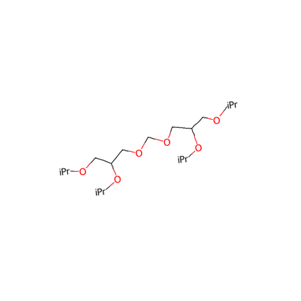 CC(C)OCC(COCOCC(COC(C)C)OC(C)C)OC(C)C